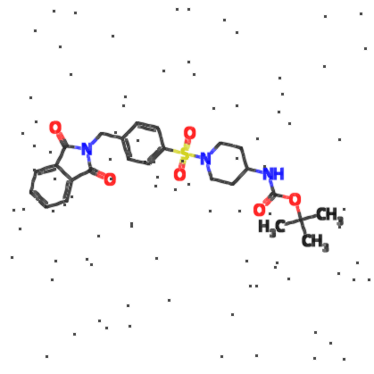 CC(C)(C)OC(=O)NC1CCN(S(=O)(=O)c2ccc(CN3C(=O)c4ccccc4C3=O)cc2)CC1